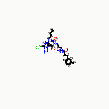 CCCCCn1c(=O)n(CCCNC(=O)CCc2cccc(C)c2)c(=O)c2[nH]c(Cl)nc21